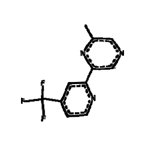 Cc1cn[c]c(-c2cc(C(F)(F)F)ccn2)n1